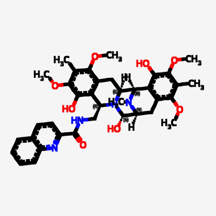 COc1c(C)c(OC)c2c(c1O)[C@@H]1[C@@H]3Cc4c(OC)c(C)c(OC)c(O)c4[C@H](CNC(=O)c4ccc5ccccc5n4)N3[C@@H](O)[C@H](C2)N1C